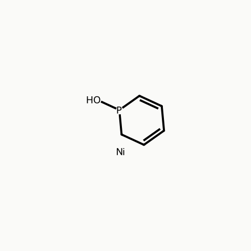 OP1C=CC=CC1.[Ni]